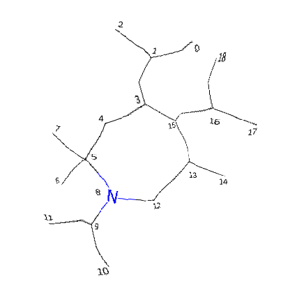 CC(C)C1CC(C)(C)N(C(C)C)CC(C)C1C(C)C